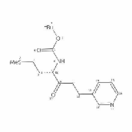 CSCC[C@H](NC(=O)OC(C)(C)C)C(=O)CCc1cccnc1